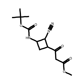 COC(=O)CC(=O)C1CC(NC(=O)OC(C)(C)C)C1[N+]#N